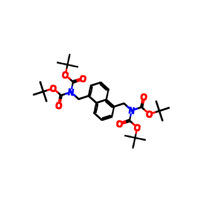 CC(C)(C)OC(=O)N(Cc1cccc2c(CN(C(=O)OC(C)(C)C)C(=O)OC(C)(C)C)cccc12)C(=O)OC(C)(C)C